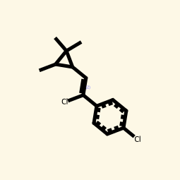 CC1C(/C=C(\Cl)c2ccc(Cl)cc2)C1(C)C